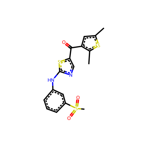 Cc1cc(C(=O)c2cnc(Nc3cccc(S(C)(=O)=O)c3)s2)c(C)s1